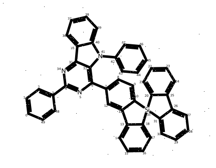 c1ccc(-c2nc(-c3ccc4c(c3)-c3ccccc3[Si]43c4ccccc4-c4ccccc43)c3c(n2)c2ccccc2n3-c2ccccc2)cc1